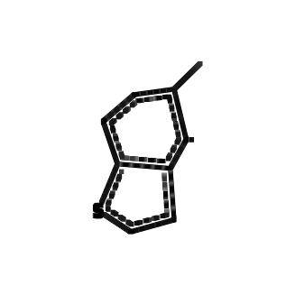 Cc1[c]c2ccsc2cc1